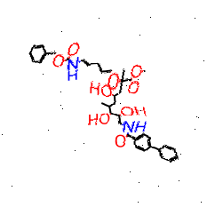 COC(=O)C(C)(CC(O)CC(C)C(O)C(O)CNC(=O)c1ccc(-c2ccccc2)cc1)OCCCCCNC(=O)OCc1ccccc1